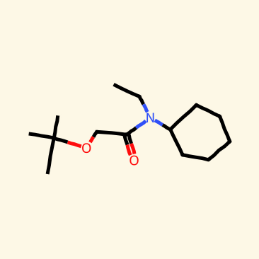 CCN(C(=O)COC(C)(C)C)C1CCCCC1